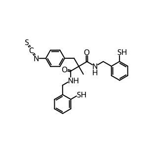 CC(Cc1ccc(N=C=S)cc1)(C(=O)NCc1ccccc1S)C(=O)NCc1ccccc1S